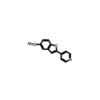 COc1ccc2oc(-c3ccncc3)cc2c1